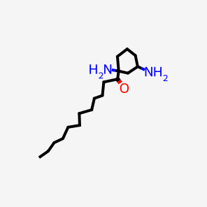 CCCCCCCCCCCC(=O)C1(N)CCCC(N)C1